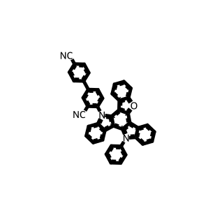 N#Cc1ccc(-c2ccc(-n3c4ccccc4c4c5c(c6ccccc6n5-c5ccccc5)c5oc6ccccc6c5c43)c(C#N)c2)cc1